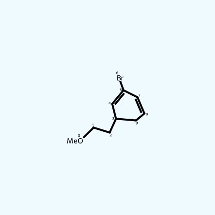 COCCC1C=C(Br)C=CC1